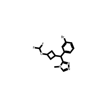 Cn1cnnc1C(c1cccc(Br)c1)C1CC(OC(F)F)C1